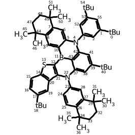 CC(C)(C)c1cc(N2c3cc4c(cc3B3c5sc6ccc(C(C)(C)C)cc6c5N(c5ccc6c(c5)C(C)(C)CCC6(C)C)c5cc(C(C)(C)C)cc2c53)C(C)(C)CCC4(C)C)cc(C(C)(C)C)c1